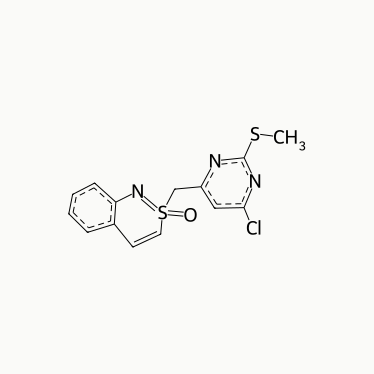 CSc1nc(Cl)cc(CS2(=O)=Nc3ccccc3C=C2)n1